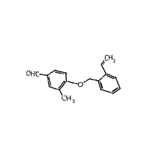 C=Cc1ccccc1COc1ccc(C=O)cc1C